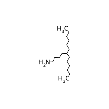 CCCCCCC(CCCCN)CCCCCC